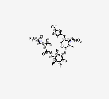 CN1COCN(Cc2cnc(Cl)s2)/C1=N/[N+](=O)[O-].Cc1c(F)c(F)c(COC(=O)C2C(/C=C(\Cl)C(F)(F)F)C2(C)C)c(F)c1F